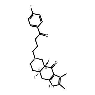 Cc1[nH]c2c(c1C)C(=O)[C@H]1CN(CCCC(=O)c3ccc(F)cc3)CC[C@@H]1C2